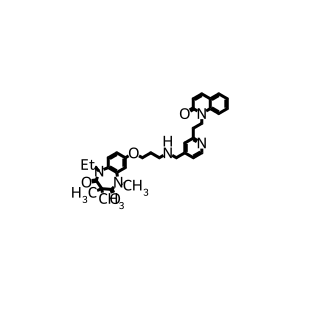 CCN1C(=O)C(C)(C)C(=O)N(C)c2cc(OCCCNCc3ccnc(CCn4c(=O)ccc5ccccc54)c3)ccc21